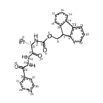 CC(C)[C@H](NC(=O)OCC1c2ccccc2-c2ccccc21)C(=O)NNC(=O)c1ccncc1